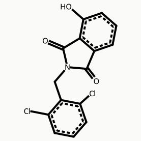 O=C1c2cccc(O)c2C(=O)N1Cc1c(Cl)cccc1Cl